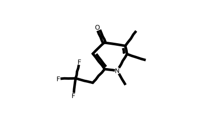 Cc1c(C)n(C)c(CC(F)(F)F)cc1=O